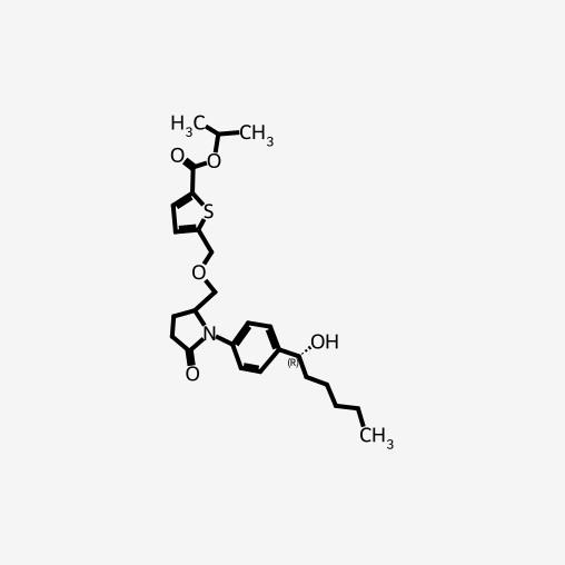 CCCCC[C@@H](O)c1ccc(N2C(=O)CCC2COCc2ccc(C(=O)OC(C)C)s2)cc1